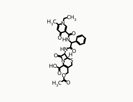 CCn1cc(C(=O)NC(C(=O)N[C@@H]2C(=O)N3C(C(=O)O)=C(COC(C)=O)CS[C@H]23)c2ccccc2)c(=O)cc1C